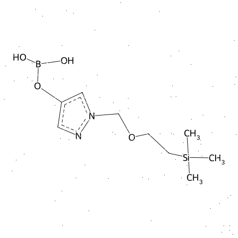 C[Si](C)(C)CCOCn1cc(OB(O)O)cn1